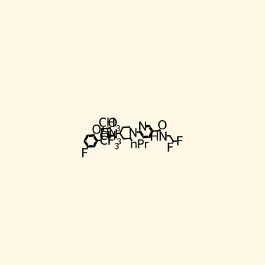 CCCC1CC(NC(=O)C(C)(C)Oc2ccc(F)cc2C(F)(F)F)CCN1c1ccc(C(=O)NCC(F)F)cn1